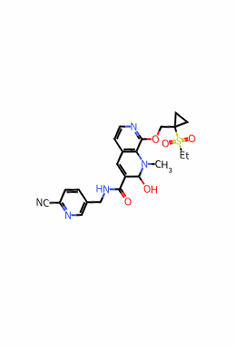 CCS(=O)(=O)C1(COc2nccc3c2N(C)C(O)C(C(=O)NCc2ccc(C#N)nc2)=C3)CC1